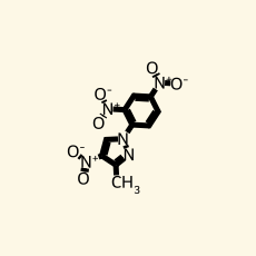 Cc1nn(-c2ccc([N+](=O)[O-])cc2[N+](=O)[O-])cc1[N+](=O)[O-]